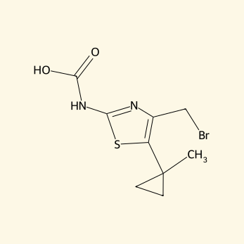 CC1(c2sc(NC(=O)O)nc2CBr)CC1